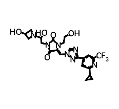 O=C1/C(=C/n2cnc(-c3cc(C4CC4)nc(C(F)(F)F)c3)n2)N(CCO)C(=O)N1CC(O)N1CC(O)C1